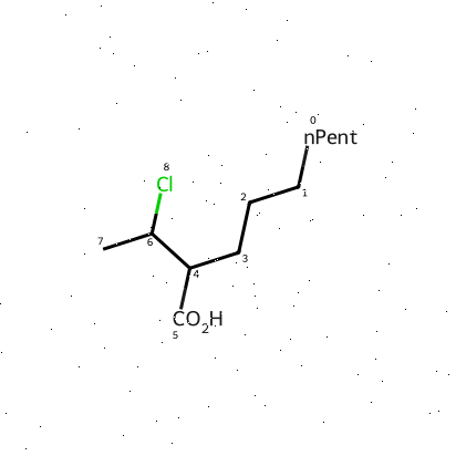 CCCCCCCCC(C(=O)O)C(C)Cl